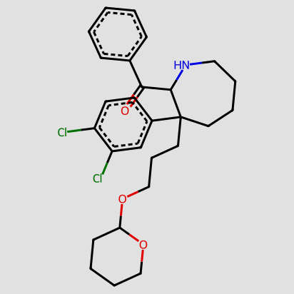 O=C(c1ccccc1)C1NCCCCC1(CCCOC1CCCCO1)c1ccc(Cl)c(Cl)c1